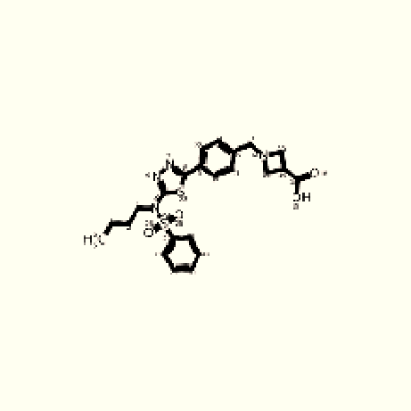 CCCCN(c1nnc(-c2ccc(CN3CC(C(=O)O)C3)cc2)s1)S(=O)(=O)c1ccccc1